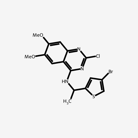 COc1cc2nc(Cl)nc(NC(C)c3cc(Br)cs3)c2cc1OC